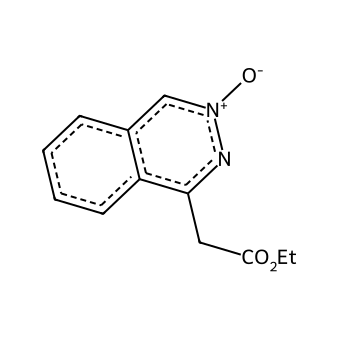 CCOC(=O)Cc1n[n+]([O-])cc2ccccc12